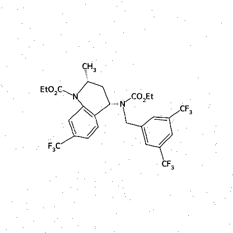 CCOC(=O)N(Cc1cc(C(F)(F)F)cc(C(F)(F)F)c1)[C@H]1C[C@@H](C)N(C(=O)OCC)c2cc(C(F)(F)F)ccc21